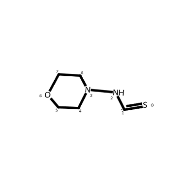 S=[C]NN1CCOCC1